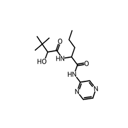 CCCC(NC(=O)C(O)C(C)(C)C)C(=O)Nc1cnccn1